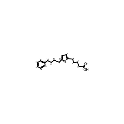 O=C(O)CCCCc1ccc(CCCCc2ccccc2)s1